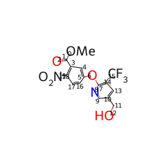 COC(=O)c1cc(Oc2ncc(CO)cc2C(F)(F)F)ccc1[N+](=O)[O-]